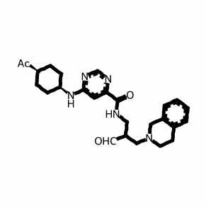 CC(=O)[C@H]1CC[C@@H](Nc2cc(C(=O)NCC(C=O)CN3CCc4ccccc4C3)ncn2)CC1